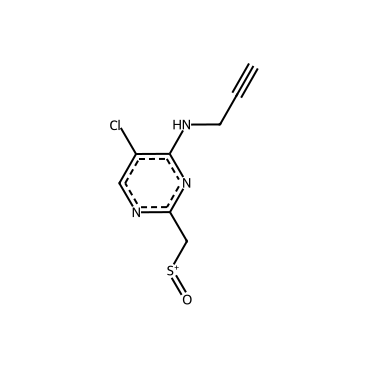 C#CCNc1nc(C[S+]=O)ncc1Cl